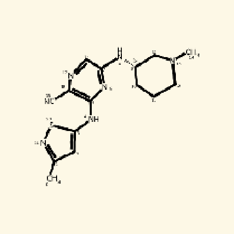 Cc1cc(Nc2nc(N[C@H]3CCCN(C)C3)cnc2C#N)sn1